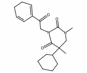 CN1CC(C)(C2CCCCC2)C(=O)N(CC(=O)C2=CCCC=C2)C1=O